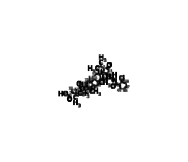 CC(C)C1=C2[C@H]3CC[C@@H]4[C@@]5(C)CC[C@H](OC(=O)[C@H]6C[C@@H](C(=O)O)C6(C)C)C(C)(C)[C@@H]5CC[C@@]4(C)[C@]3(C)CC[C@@]2(CCNC(=O)c2ccccc2Cl)CC1=O